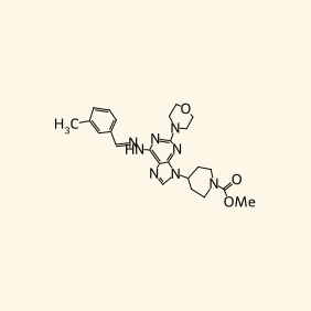 COC(=O)N1CCC(n2cnc3c(N/N=C/c4cccc(C)c4)nc(N4CCOCC4)nc32)CC1